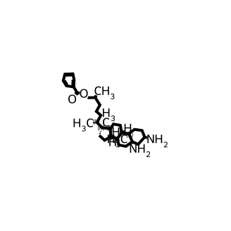 CC(CCC[C@@H](C)[C@H]1CC[C@H]2[C@@H]3CCC4(N)CC(N)CC[C@]4(C)[C@H]3CC[C@]12C)COC(=O)c1ccccc1